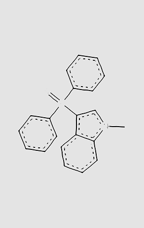 Cn1cc(P(=S)(c2ccccc2)c2ccccc2)c2ccccc21